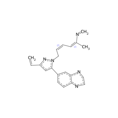 C=Cc1cc(-c2ccc3nccnc3c2)n(C/C=C\C=C(\C)N=C)n1